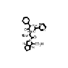 CC(C)(C)[C@H](NC(=O)[C@@H](NC(=O)c1cnccn1)C1CCCCC1)C(=O)N1C[C@@H]2CCC[C@@H]2C1C(=O)O